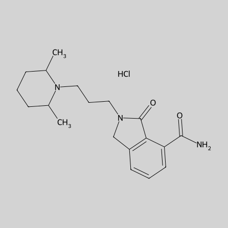 CC1CCCC(C)N1CCCN1Cc2cccc(C(N)=O)c2C1=O.Cl